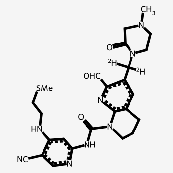 [2H]C([2H])(c1cc2c(nc1C=O)N(C(=O)Nc1cc(NCCSC)c(C#N)cn1)CCC2)N1CCN(C)CC1=O